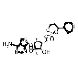 C[C@@]1(O)[C@H](O)[C@@H](CO[P@@]2(=O)OCC[C@@H](c3ccncc3)O2)O[C@H]1c1scc2c(N)ncnc12